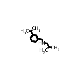 CC(C)CNCc1cccc(C(C)C)c1